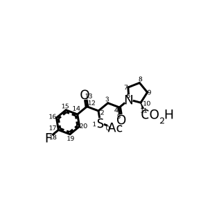 CC(=O)SC(CC(=O)N1CCC[C@H]1C(=O)O)C(=O)c1ccc(F)cc1